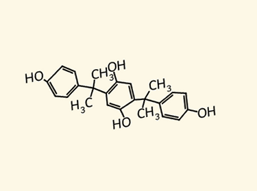 CC(C)(c1ccc(O)cc1)c1cc(O)c(C(C)(C)c2ccc(O)cc2)cc1O